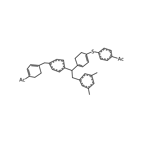 CC(=O)C1=CC=C(Cc2ccc(C(Cc3cc(C)cc(C)c3)C3=CC=C(Sc4ccc(C(C)=O)cc4)CC3)cc2)CC1